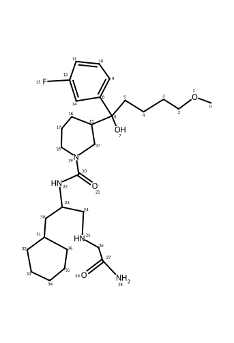 COCCCCC(O)(c1cccc(F)c1)C1CCCN(C(=O)NC(CNCC(N)=O)CC2CCCCC2)C1